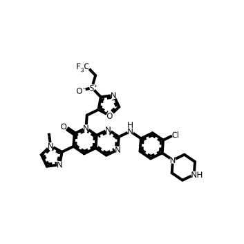 Cn1ccnc1-c1cc2cnc(Nc3ccc(N4CCNCC4)c(Cl)c3)nc2n(Cc2ocnc2[S+]([O-])CC(F)(F)F)c1=O